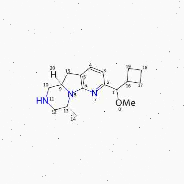 COC(c1ccc2c(n1)N1[C@@H](CNC[C@H]1C)C2)C1CCC1